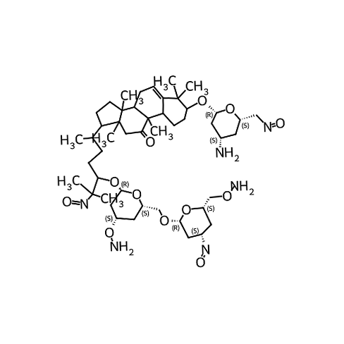 CC(CCC(O[C@H]1C[C@@H](ON)C[C@@H](CO[C@H]2C[C@@H](N=O)C[C@@H](CON)O2)O1)C(C)(C)N=O)C1CCC2(C)C3CC=C4C(CCC(O[C@H]5C[C@@H](N)C[C@@H](CN=O)O5)C4(C)C)C3(C)C(=O)CC12C